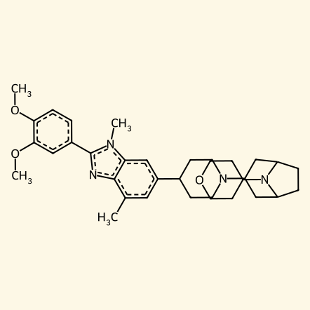 COc1ccc(-c2nc3c(C)cc(C4CCN(C5CC6CCC(C5)N6C5CCOCC5)CC4)cc3n2C)cc1OC